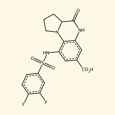 O=C(O)c1cc2c(c(NS(=O)(=O)c3ccc(F)c(F)c3)c1)N1CCCC1C(=O)N2